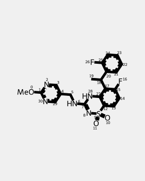 COc1ncc(CNC2=NS(=O)(=O)c3ccc(F)c(C(C)c4ccccc4F)c3N2)cn1